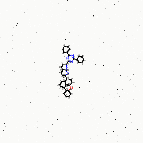 c1ccc(-c2nc(-c3ccccc3)nc(-c3ccc4ccc(-c5ccc6c7c(cccc57)-c5ccccc5O6)nc4n3)n2)cc1